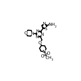 CS(=O)(=O)N1CCC(OCc2nc(-c3cnc(N)s3)nc(N3CCOCC3)n2)CC1